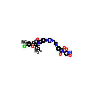 CC1(C)[C@H](Oc2ccc(C#N)c(Cl)c2)C(C)(C)[C@H]1N1Cc2cc(N3CCN(CC4CN(c5ccc6c(c5)C(=O)N(C5CCC(=O)NC5=O)C6=O)C4)CC3)ccc2C1=O